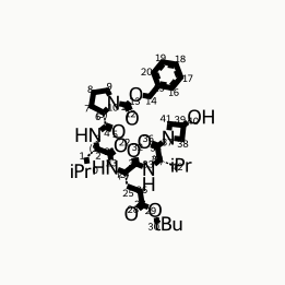 CC(C)C[C@H](NC(=O)[C@@H]1CCCN1C(=O)OCc1ccccc1)C(=O)N[C@@H](CCC(=O)OC(C)(C)C)C(=O)N[C@H](C(=O)N1CC(O)C1)C(C)C